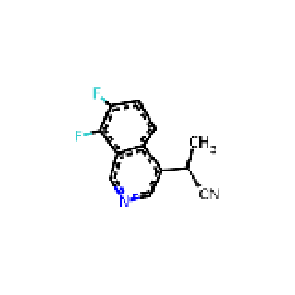 C[C@@H](C#N)c1cncc2c(F)c(F)ccc12